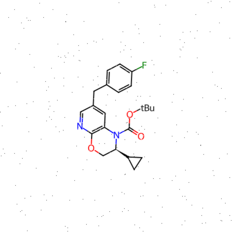 CC(C)(C)OC(=O)N1c2cc(Cc3ccc(F)cc3)cnc2OC[C@@H]1C1CC1